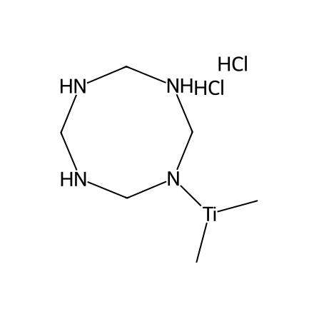 Cl.Cl.[CH3][Ti]([CH3])[N]1CNCNCNC1